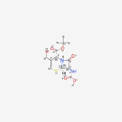 COC(=O)N[C@@H]1C(=O)N2[C@@H](C(=O)OC(C)(C)C)C(CBr)=CS[C@H]12